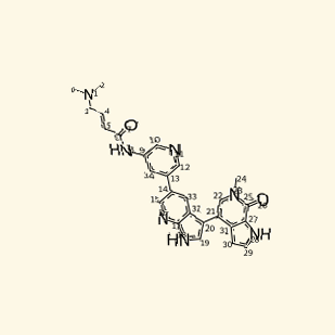 CN(C)CC=CC(=O)Nc1cncc(-c2cnc3[nH]cc(-c4cn(C)c(=O)c5[nH]ccc45)c3c2)c1